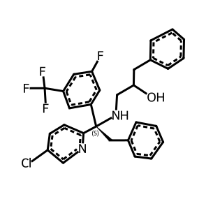 OC(CN[C@@](Cc1ccccc1)(c1cc(F)cc(C(F)(F)F)c1)c1ccc(Cl)cn1)Cc1ccccc1